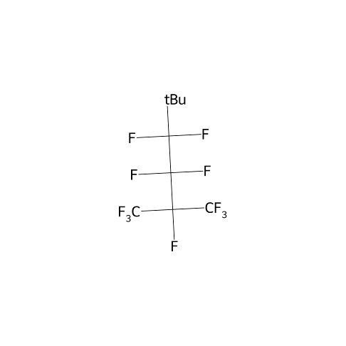 CC(C)(C)C(F)(F)C(F)(F)C(F)(C(F)(F)F)C(F)(F)F